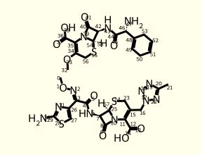 CO/N=C(/C(=O)N[C@@H]1C(=O)N2C(C(=O)O)=C(Cn3nnc(C)n3)CS[C@H]12)c1csc(N)n1.COC1=C(C(=O)O)N2C(=O)[C@@H](NC(=O)[C@H](N)C3=CCC=CC3)[C@H]2SC1